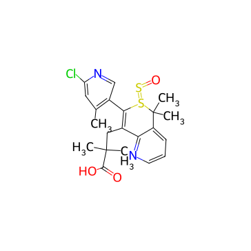 Cc1cc(Cl)ncc1C1=C(CC(C)(C)C(=O)O)c2ncccc2C(C)(C)S1=S=O